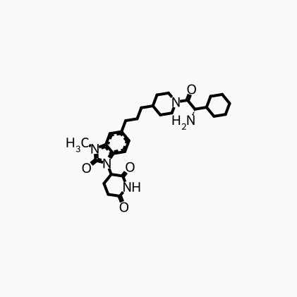 Cn1c(=O)n(C2CCC(=O)NC2=O)c2ccc(CCCC3CCN(C(=O)[C@@H](N)C4CCCCC4)CC3)cc21